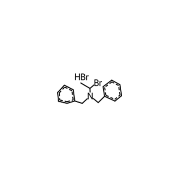 Br.CC(Br)N(Cc1ccccc1)Cc1ccccc1